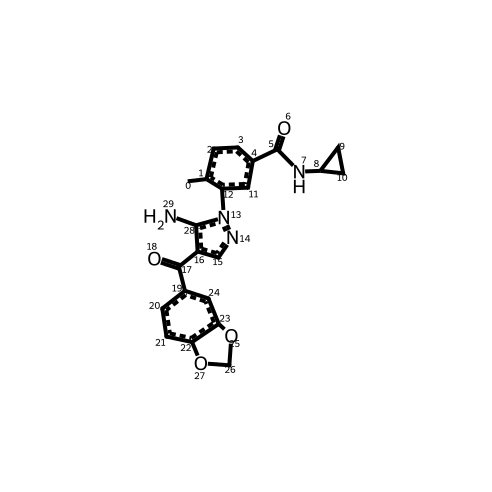 Cc1ccc(C(=O)NC2CC2)cc1-n1ncc(C(=O)c2ccc3c(c2)OCO3)c1N